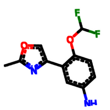 Cc1nc(-c2cc(N)ccc2OC(F)F)co1